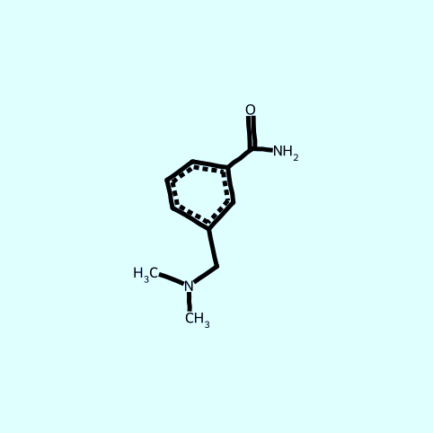 CN(C)Cc1cccc(C(N)=O)c1